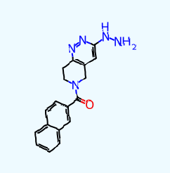 NNc1cc2c(nn1)CCN(C(=O)c1ccc3ccccc3c1)C2